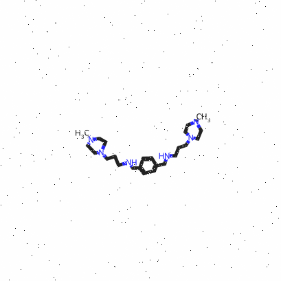 CN1CCN(CCCNCc2ccc(CNCCCN3CCN(C)CC3)cc2)CC1